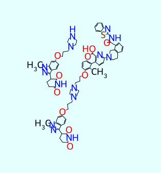 Cc1c(OCCCN2CCN(CCCOc3ccc4c(C5CCC(=O)NC5=O)nn(C)c4c3)CC2)cccc1-c1ccc(N2CCc3cccc(C(=O)Nc4nc5ccccc5s4)c3C2)nc1C(=O)O.Cn1nc(C2CCC(=O)NC2=O)c2ccc(OCCCN3CCNCC3)cc21